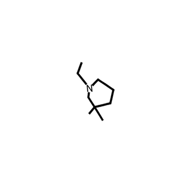 CCN1CCCC(C)(C)C1